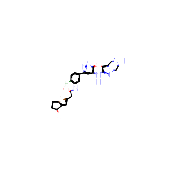 O=C(Cc1cc2c(s1)CCC2O)Nc1cc(-c2cc(Nc3cc4n(n3)CCNC4)c(=O)[nH]n2)ccc1F